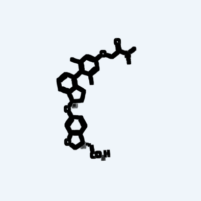 Cc1cc(OCC(=O)N(C)C)cc(C)c1-c1cccc2c1CC[C@H]2Oc1ccc2c(c1)OC[C@H]2CC(=O)O